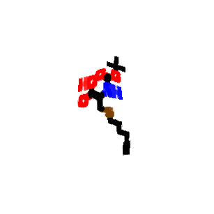 C#CCCCCSCC(NC(=O)OC(C)(C)C)C(=O)O